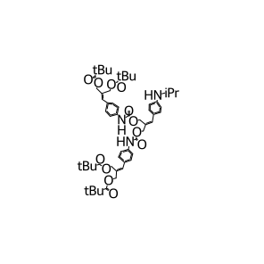 CC(C)Nc1ccc(C=C(COC(=O)Nc2ccc(C=C(COC(=O)C(C)(C)C)COC(=O)C(C)(C)C)cc2)COC(=O)Nc2ccc(C=C(COC(=O)C(C)(C)C)COC(=O)C(C)(C)C)cc2)cc1